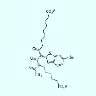 CC(=S)N(CCCCCC(=O)O)C(=O)/C(C(=O)CCCCCCCC(=O)O)=C1\Sc2ccc(C(C)(C)C)cc2S1